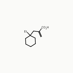 C=C(CC1(CC)CCCCC1)C(=O)O